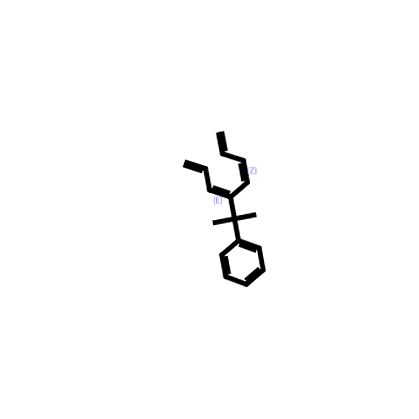 C=C/C=C\C(=C/C=C)C(C)(C)c1ccccc1